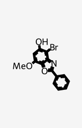 COc1cc(O)c(Br)c2nc(-c3ccccc3)oc12